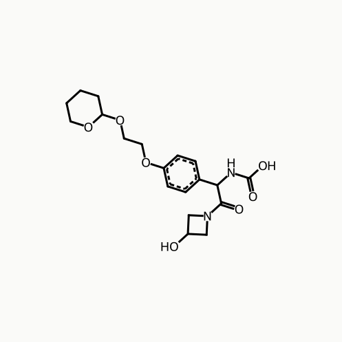 O=C(O)NC(C(=O)N1CC(O)C1)c1ccc(OCCOC2CCCCO2)cc1